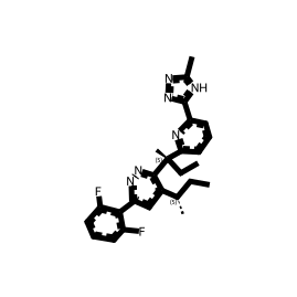 CC[C@H](C)c1cc(-c2c(F)cccc2F)nnc1[C@@](C)(CC)c1cccc(-c2nnc(C)[nH]2)n1